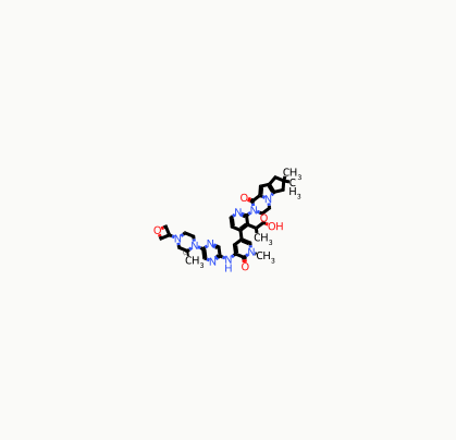 CC(C(=O)O)c1c(-c2cc(Nc3cnc(N4CCN(C5COC5)C[C@@H]4C)cn3)c(=O)n(C)c2)ccnc1N1CCn2c(cc3c2CC(C)(C)C3)C1=O